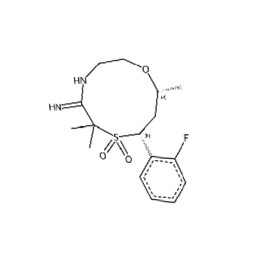 C[C@@H]1C[C@H](c2ccccc2F)S(=O)(=O)C(C)(C)C(=N)NCCO1